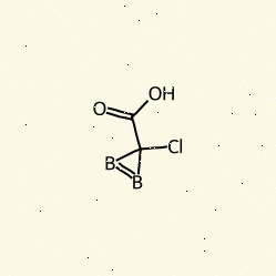 O=C(O)C1(Cl)B=B1